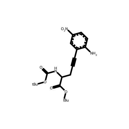 CC(C)(C)OC(=O)NC(CC#Cc1cc([N+](=O)[O-])ccc1N)C(=O)OC(C)(C)C